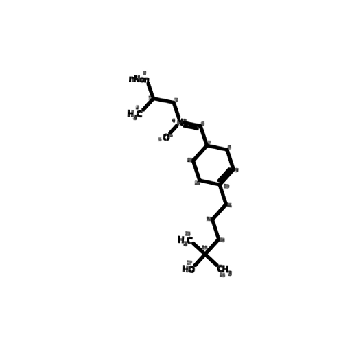 CCCCCCCCCC(C)C/[N+]([O-])=C/C1CC=C(CCCC(C)(C)O)CC1